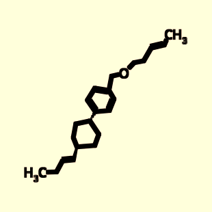 CC=CCCOCc1ccc([C@H]2CC[C@H](C=CCC)CC2)cc1